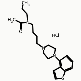 CCCN(CCCCN1CCN(c2cccc3sccc23)CC1)C(C)=O.Cl